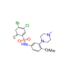 COc1ccc(NS(=O)(=O)C2=CC(Cl)=C(Br)CC2=S)cc1N1CCN(C)CC1